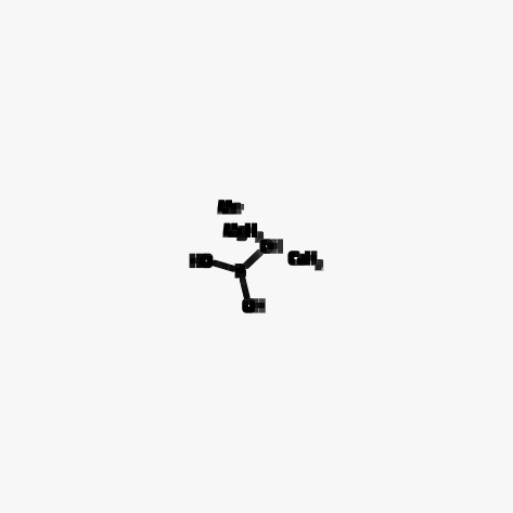 OB(O)O.[CaH2].[MgH2].[Mn]